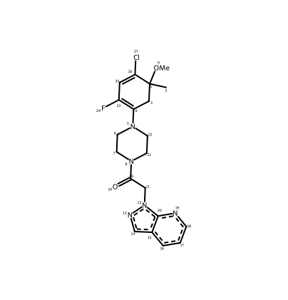 COC1(C)CC(N2CCN(C(=O)Cn3ncc4cccnc43)CC2)=C(F)C=C1Cl